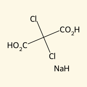 O=C(O)C(Cl)(Cl)C(=O)O.[NaH]